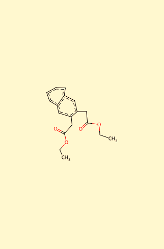 CCOC(=O)Cc1cc2ccccc2cc1CC(=O)OCC